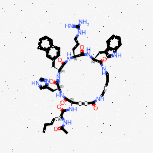 CCCC[C@@H](NC(C)=O)C(=O)N[C@H]1CCC(=O)NCCCCNC(=O)[C@H](Cc2c[nH]c3ccccc23)NC(=O)[C@H](CCCNC(=N)N)NC(=O)[C@@H](Cc2ccc3ccccc3c2)NC(=O)[C@H](Cc2c[nH]cn2)NC1=O